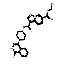 C=C(OCC)c1ccc2c(C(=O)N[C@H]3CC[C@H](c4n[nH]c(=O)c5ccccc54)CC3)cnn2c1